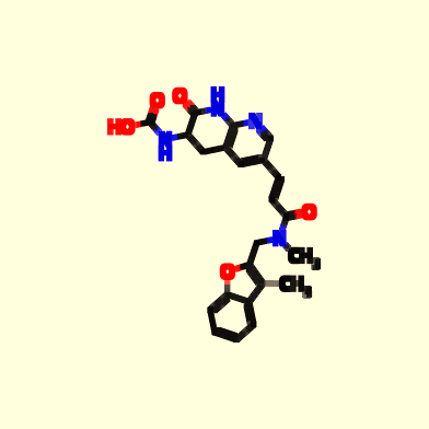 Cc1c(CN(C)C(=O)C=Cc2cnc3c(c2)CC(NC(=O)O)C(=O)N3)oc2ccccc12